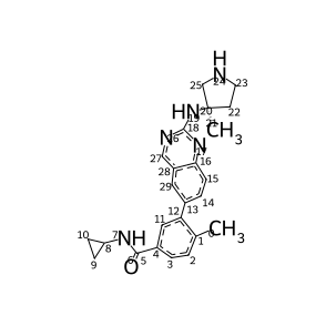 Cc1ccc(C(=O)NC2CC2)cc1-c1ccc2nc(N[C@]3(C)CCNC3)ncc2c1